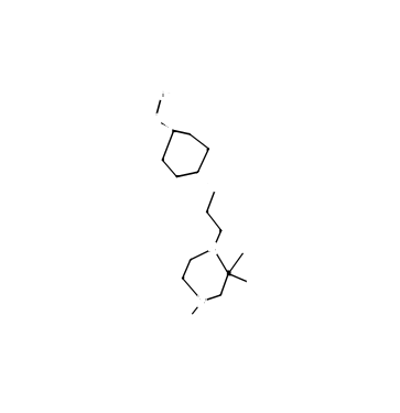 CCN1CCN(CCC[C@H]2CC[C@H](OC(C)C)CC2)C(C)(C)C1